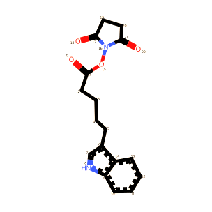 O=C(CCCCc1c[nH]c2ccccc12)ON1C(=O)CCC1=O